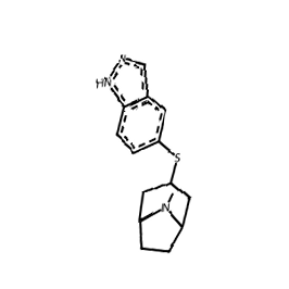 CN1C2CCC1CC(Sc1ccc3[nH]ncc3c1)C2